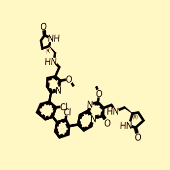 COc1nc(-c2cccc(-c3cccc(-c4ccn5c(=O)c(CNC[C@H]6CCC(=O)N6)c(OC)nc5c4)c3Cl)c2Cl)ccc1CNC[C@H]1CCC(=O)N1